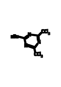 CCCCc1nc(C(Cl)(Cl)Cl)nc(C(Cl)(Cl)Cl)n1